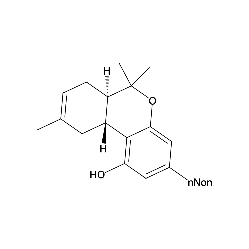 CCCCCCCCCc1cc(O)c2c(c1)OC(C)(C)[C@@H]1CC=C(C)C[C@@H]21